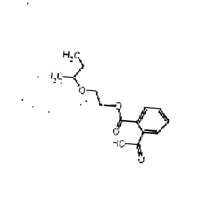 CCC(C)OCCOC(=O)c1ccccc1C(=O)O